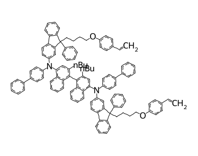 C=Cc1ccc(OCCCCC2(c3ccccc3)c3ccccc3-c3ccc(N(c4ccc(-c5ccccc5)cc4)c4cc(CCCC)c(-c5c(CCCC)cc(N(c6ccc(-c7ccccc7)cc6)c6ccc7c(c6)C(CCCCOc6ccc(C=C)cc6)(c6ccccc6)c6ccccc6-7)c6ccccc56)c5ccccc45)cc32)cc1